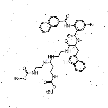 CC(C)(C)OC(=O)NCC/N=C(\CCNC(=O)OC(C)(C)C)NCCNC(=O)[C@H](Cc1c[nH]c2ccccc12)NC(=O)c1cc(Br)ccc1NC(=O)c1ccc2ccccc2c1